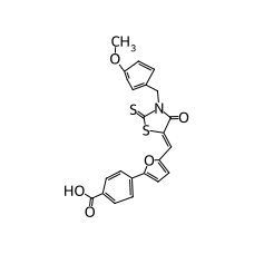 COc1ccc(CN2C(=O)C(=Cc3ccc(-c4ccc(C(=O)O)cc4)o3)SC2=S)cc1